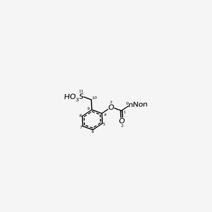 CCCCCCCCCC(=O)Oc1ccccc1CS(=O)(=O)O